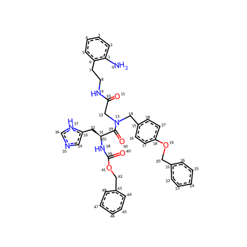 Nc1ccccc1CCNC(=O)CN(Cc1ccc(OCc2ccccc2)cc1)C(=O)[C@H](Cc1cnc[nH]1)NC(=O)OCc1ccccc1